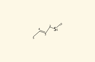 [CH2]SCC=CC